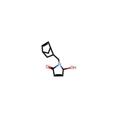 O=C1C=CC(O)N1CC1CC2C=CC1C2